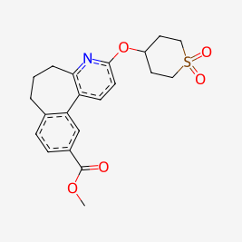 COC(=O)c1ccc2c(c1)-c1ccc(OC3CCS(=O)(=O)CC3)nc1CCC2